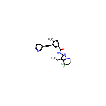 CCc1c(NC(=O)c2ccc(C)c(C#Cc3cccnc3)c2)nn2c1C(F)(F)CCC2